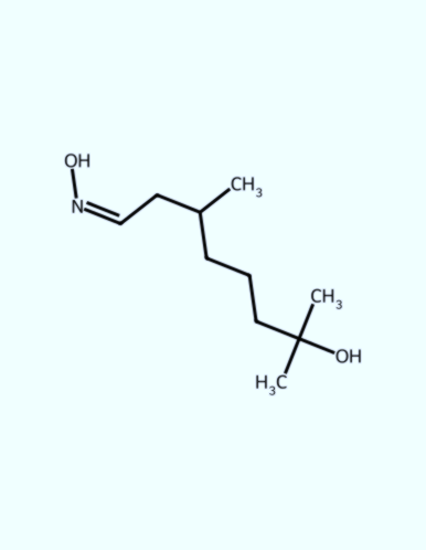 CC(C/C=N\O)CCCC(C)(C)O